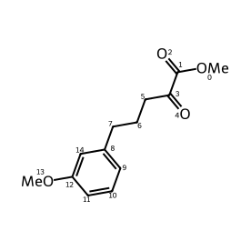 COC(=O)C(=O)CCCc1cccc(OC)c1